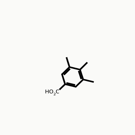 Cc1cc(C(=O)O)cc(C)c1C